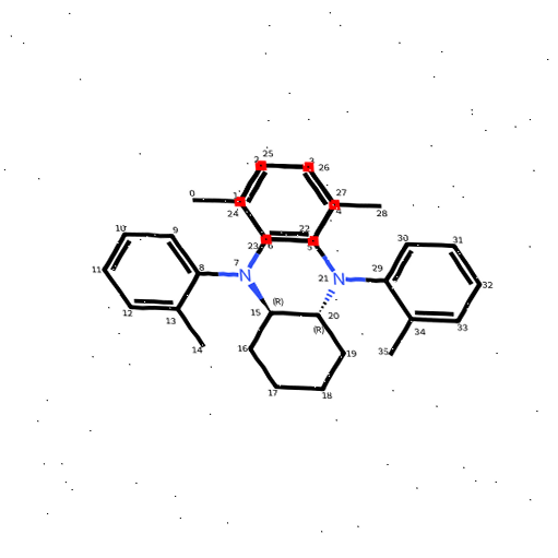 Cc1ccccc1N(c1ccccc1C)[C@@H]1CCCC[C@H]1N(c1ccccc1C)c1ccccc1C